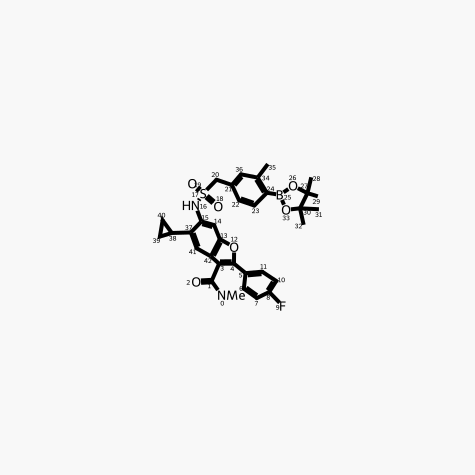 CNC(=O)c1c(-c2ccc(F)cc2)oc2cc(NS(=O)(=O)Cc3ccc(B4OC(C)(C)C(C)(C)O4)c(C)c3)c(C3CC3)cc12